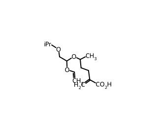 C=COC(COC(C)C)OC(C)CCC(=C)C(=O)O